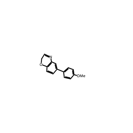 COc1ccc(-c2ccc3c(c2)N=CCO3)cc1